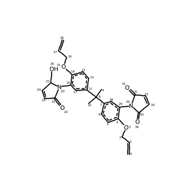 C=CCOc1ccc(C(C)(C)c2ccc(OCC=C)c(N3C(=O)C=CC3O)c2)cc1N1C(=O)C=CC1=O